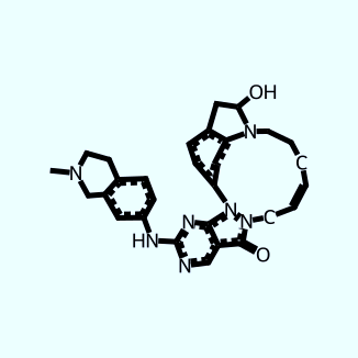 CN1CCc2ccc(Nc3ncc4c(=O)n5n(c4n3)-c3ccc4c(c3)N(CCC/C=C\C5)C(O)C4)cc2C1